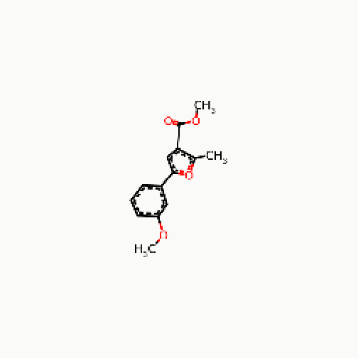 COC(=O)c1cc(-c2cccc(OC)c2)oc1C